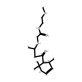 COCCOC(=O)CSC(C)CC(=O)C1C(C)C=CCC1(C)C